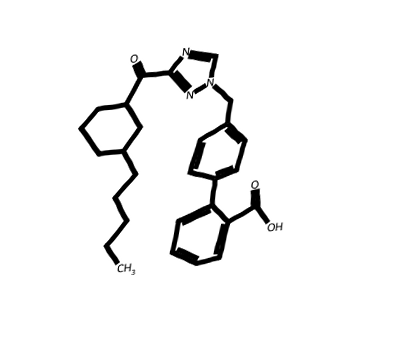 CCCCCC1CCCC(C(=O)c2ncn(Cc3ccc(-c4ccccc4C(=O)O)cc3)n2)C1